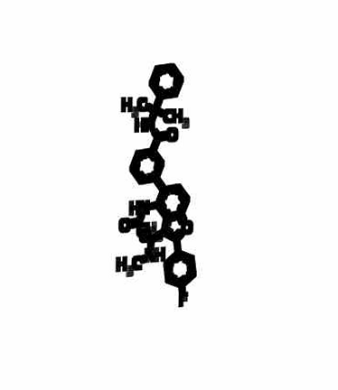 CNC(=O)c1c(-c2ccc(F)cc2)oc2ccc(-c3cccc(C(=O)NC(C)(C)c4ccccc4)c3)c(NC(C)=O)c12